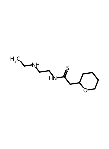 CCNCCNC(=S)CC1CCCCO1